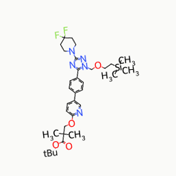 CC(C)(C)OC(=O)C(C)(C)COc1ccc(-c2ccc(-c3nc(N4CCC(F)(F)CC4)nn3COCC[Si](C)(C)C)cc2)cn1